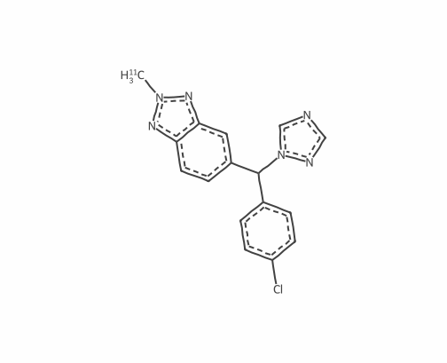 [11CH3]n1nc2ccc(C(c3ccc(Cl)cc3)n3cncn3)cc2n1